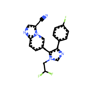 N#Cc1cnc2ccc(-c3c(-c4ccc(F)cc4)ncn3CC(F)F)cn12